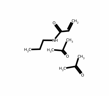 C=CC(=O)NCCC.CC(C)=O.CC(C)=O